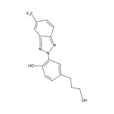 OCCCc1ccc(O)c(-n2nc3ccc(C(F)(F)F)cc3n2)c1